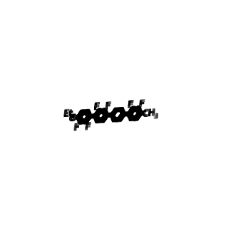 CCOc1ccc(-c2ccc(C3CC=C(c4ccc(C)c(F)c4F)CC3)c(F)c2F)c(F)c1F